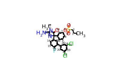 CCCS(=O)(=O)Oc1cccc(C2(c3ccc(F)c(-c4cc(Cl)cc(Cl)c4)c3)N=C(N)N(C)C2=O)c1